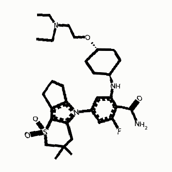 CCN(CC)CCO[C@H]1CC[C@H](Nc2cc(-n3c4c(c5c3CC(C)(C)CS5(=O)=O)CCC4)cc(F)c2C(N)=O)CC1